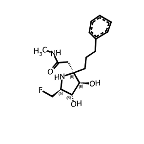 CNC(=O)C[C@@]1(CCCc2ccccc2)N[C@H](CF)[C@@H](O)[C@@H]1O